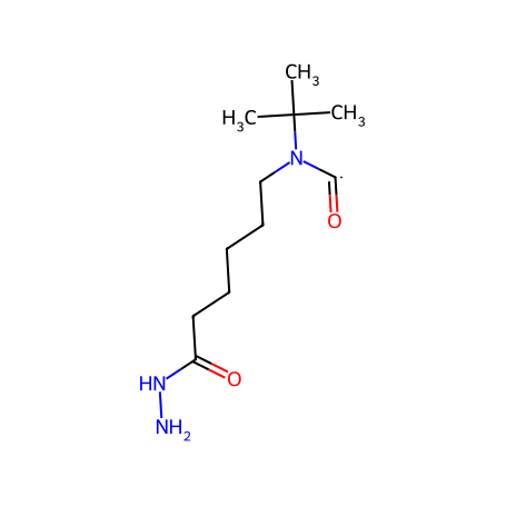 CC(C)(C)N([C]=O)CCCCCC(=O)NN